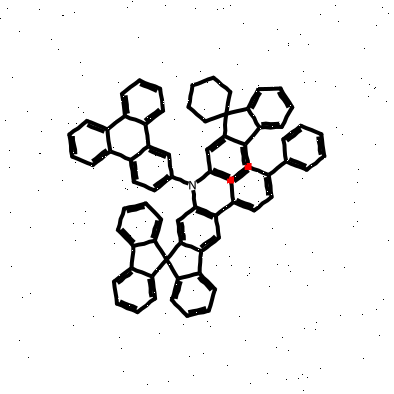 c1ccc(-c2ccc(-c3cc4c(cc3N(c3ccc5c(c3)C3(CCCCC3)c3ccccc3-5)c3ccc5c6ccccc6c6ccccc6c5c3)C3(c5ccccc5-c5ccccc53)c3ccccc3-4)cc2)cc1